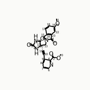 COC(=O)c1ncccc1C#C[C@]1(CN2Cc3ccc(OC)cc3C2=O)NC(=O)NC1=O